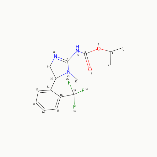 CC(C)OC(=O)NC1=NCC(c2ccccc2C(F)(F)F)N1C